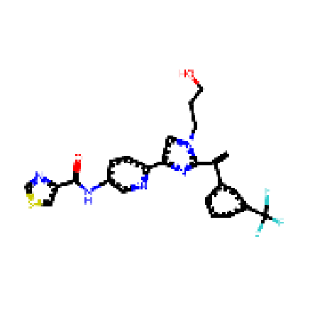 C=C(c1cccc(C(F)(F)F)c1)c1nc(-c2ccc(NC(=O)c3cscn3)cn2)cn1CCCO